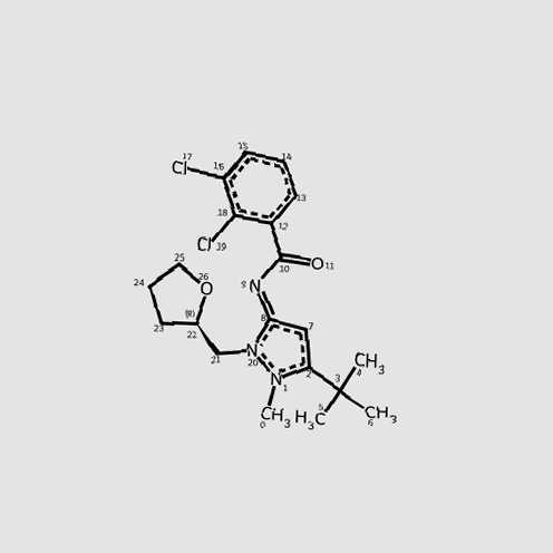 Cn1c(C(C)(C)C)cc(=NC(=O)c2cccc(Cl)c2Cl)n1C[C@H]1CCCO1